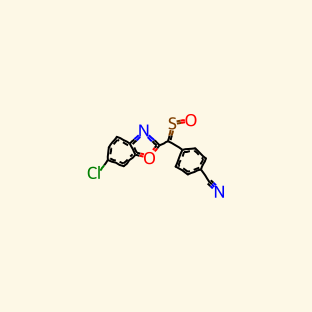 N#Cc1ccc(C(=S=O)c2nc3ccc(Cl)cc3o2)cc1